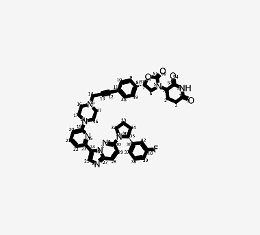 O=C1CCC(N2C[C@H](c3ccc(C#CCN4CCN(c5cccc(-c6cnc7ccc(N8CCC[C@@H]8c8cccc(F)c8)nn67)n5)CC4)cc3)OC2=O)C(=O)N1